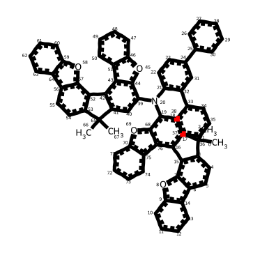 CC1(C)c2ccc3c(oc4ccccc43)c2-c2c1cc(N(c1ccc(-c3ccccc3)cc1-c1ccccc1)c1cc3c(c4c1oc1ccccc14)-c1c(ccc4c1oc1ccccc14)C3(C)C)c1oc3ccccc3c21